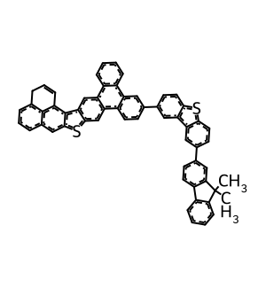 CC1(C)c2ccccc2-c2ccc(-c3ccc4sc5ccc(-c6ccc7c(c6)c6ccccc6c6cc8c(cc76)sc6cc7cccc9c7c(c68)C=CC9)cc5c4c3)cc21